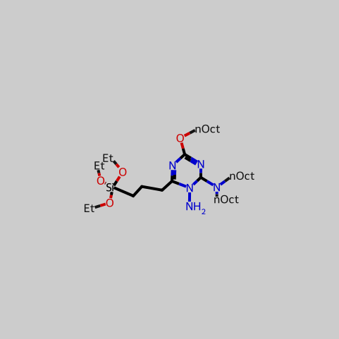 CCCCCCCCOC1=NC(N(CCCCCCCC)CCCCCCCC)N(N)C(CCC[Si](OCC)(OCC)OCC)=N1